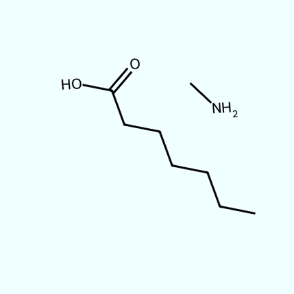 CCCCCCC(=O)O.CN